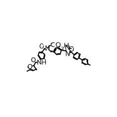 CC1=CCC(C(=O)Nc2ccc(C(=O)N(CC(=O)O)Cc3ccc(-c4noc(-c5ccc(-c6ccc(C)cc6)cc5)n4)cc3)cc2)O1